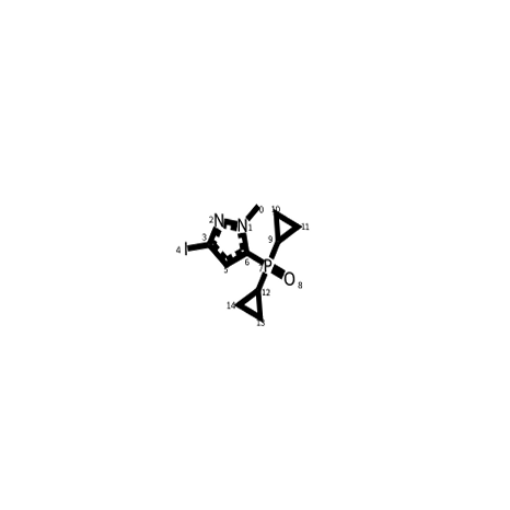 Cn1nc(I)cc1P(=O)(C1CC1)C1CC1